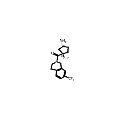 CCC[C@]1(C(=O)N2CCc3ccc(C(F)(F)F)cc3C2)CC[C@@H](N)C1